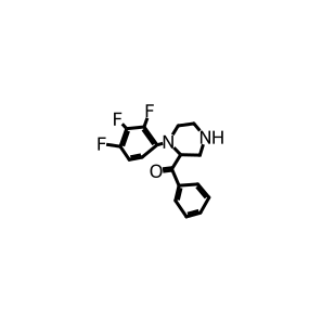 O=C(c1ccccc1)C1CNCCN1c1ccc(F)c(F)c1F